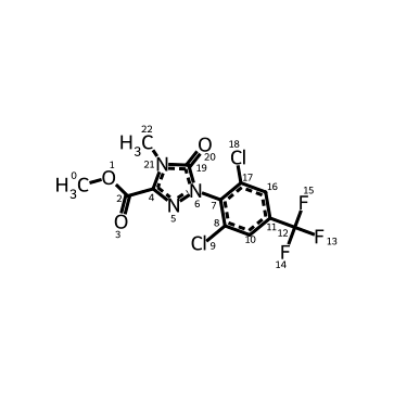 COC(=O)c1nn(-c2c(Cl)cc(C(F)(F)F)cc2Cl)c(=O)n1C